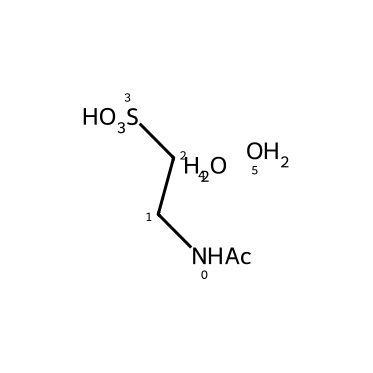 CC(=O)NCCS(=O)(=O)O.O.O